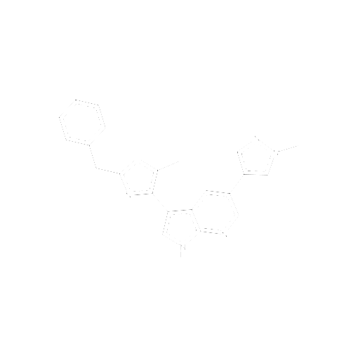 Cc1sc(Cc2ccccc2)nc1-c1c[nH]c2ncc(-c3cnn(C)c3)cc12